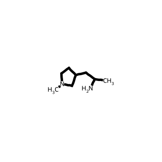 CC(N)CC1CCN(C)C1